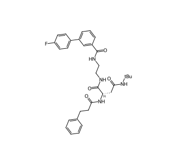 CC(C)(C)NC(=O)C[C@H](NC(=O)CCc1ccccc1)C(=O)NCCNC(=O)c1cccc(-c2ccc(F)cc2)c1